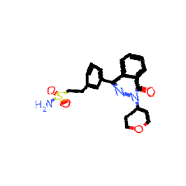 NS(=O)(=O)CCc1cccc(-c2nn(C3CCOCC3)c(=O)c3ccccc23)c1